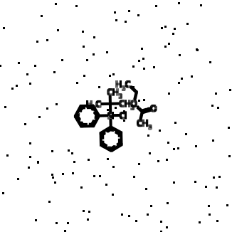 CC(C)(C)[Si](Cl)(c1ccccc1)c1ccccc1.CCOC(C)=O